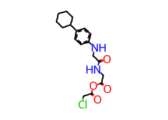 O=C(CNc1ccc(C2CCCCC2)cc1)NCC(=O)OC(=O)CCl